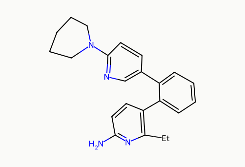 CCc1nc(N)ccc1-c1ccccc1-c1ccc(N2CCCCC2)nc1